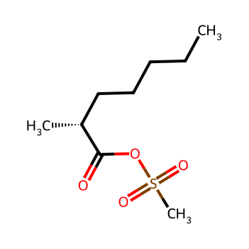 CCCCC[C@@H](C)C(=O)OS(C)(=O)=O